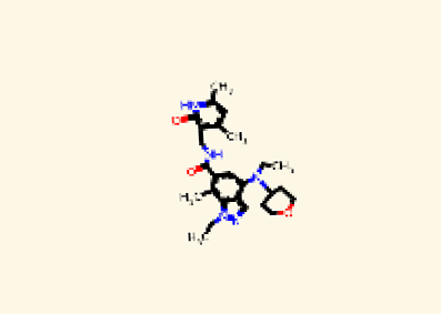 CCN(c1cc(C(=O)NCc2c(C)cc(C)[nH]c2=O)c(C)c2c1cnn2CC)C1CCOCC1